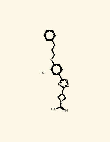 Cl.N=C(N)N1CC(c2nc(-c3ccc(OCCCc4ccccc4)cc3)no2)C1